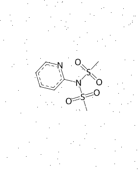 CS(=O)(=O)N(c1ccccn1)S(C)(=O)=O